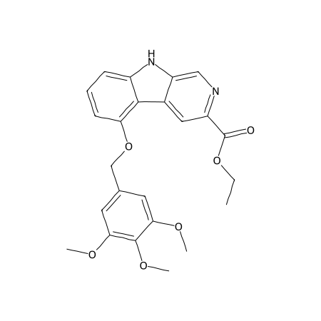 CCOC(=O)c1cc2c(cn1)[nH]c1cccc(OCc3cc(OC)c(OC)c(OC)c3)c12